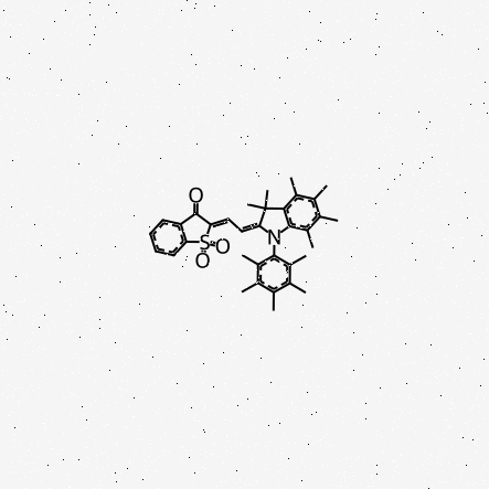 Cc1c(C)c(C)c(N2/C(=C/C=C3/C(=O)c4ccccc4S3(=O)=O)C(C)(C)c3c(C)c(C)c(C)c(C)c32)c(C)c1C